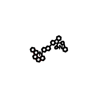 c1ccc(-c2cccc(-c3ccccc3N(c3ccc4cc(-c5ccc6c(c5)C5(c7ccccc7-6)c6ccccc6-n6c7ccccc7c7cccc5c76)ccc4c3)c3ccccc3-c3ccccc3)c2)cc1